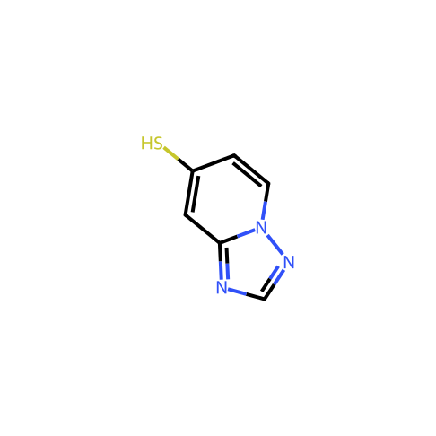 Sc1ccn2ncnc2c1